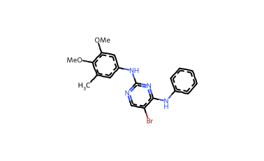 COc1cc(Nc2ncc(Br)c(Nc3ccccc3)n2)cc(C)c1OC